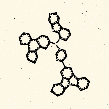 c1ccc2c(c1)oc1c(N(c3ccc(-c4cc5c6ccccc6n6c7ccccc7c(c4)c56)cc3)c3ccc4c5ccccc5c5ccccc5c4c3)cccc12